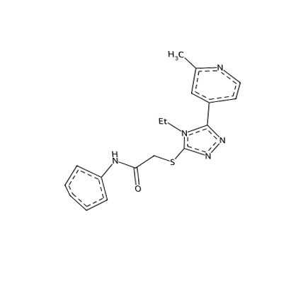 CCn1c(SCC(=O)Nc2ccccc2)nnc1-c1ccnc(C)c1